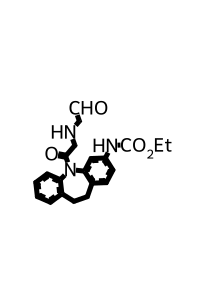 CCOC(=O)Nc1ccc2c(c1)N(C(=O)CNCC=O)c1ccccc1CC2